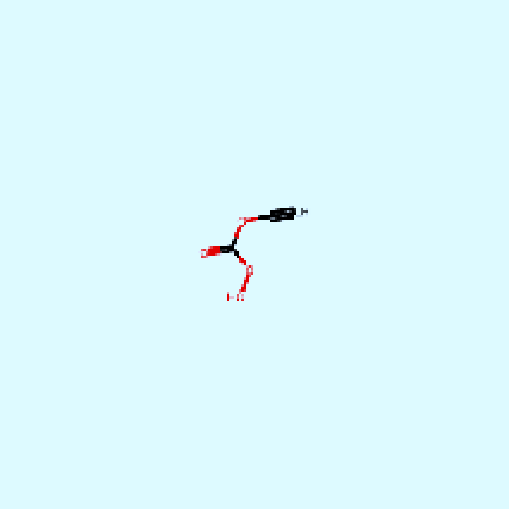 C#COC(=O)OO